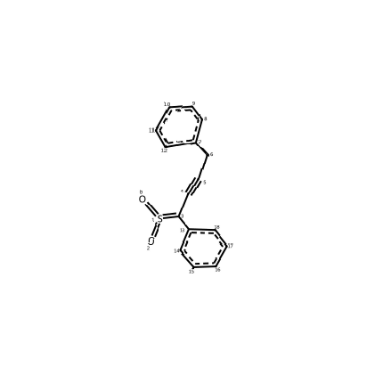 O=S(=O)=C(C#CCc1ccccc1)c1ccccc1